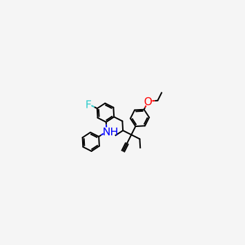 C#CC(CC)(c1ccc(OCC)cc1)C(C)Cc1ccc(F)cc1Nc1ccccc1